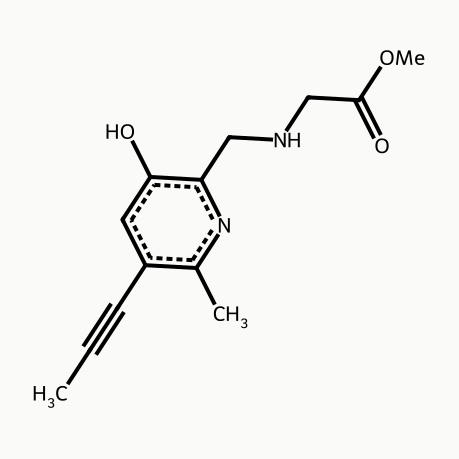 CC#Cc1cc(O)c(CNCC(=O)OC)nc1C